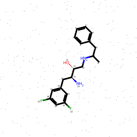 CC(Cc1ccccc1)NC[C@@H](O)[C@@H](N)Cc1cc(F)cc(F)c1